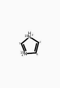 c1c[15nH]c[15n]1